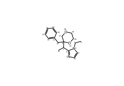 CCn1ccnc1C(C)C1(Cc2ccccc2)COCCO1